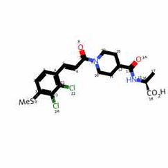 CSc1ccc(/C=C/C(=O)N2CCC(C(=O)N[C@@H](C)C(=O)O)CC2)c(Cl)c1Cl